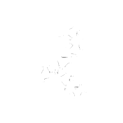 Brc1cccc2sc3ccc(-c4ccc5c(c4)c4cc6c(cc4n5-c4ccccc4)sc4ccccc46)cc3c12